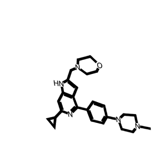 CN1CCN(c2ccc(-c3nc(C4CC4)cc4[nH]c(CN5CCOCC5)cc34)cc2)CC1